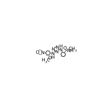 CNC(=O)c1ccccc1Nc1ncnc(Nc2ccc(N3CCOCC3)cc2OC)n1